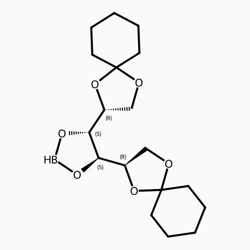 B1O[C@H]([C@H]2COC3(CCCCC3)O2)[C@@H]([C@H]2COC3(CCCCC3)O2)O1